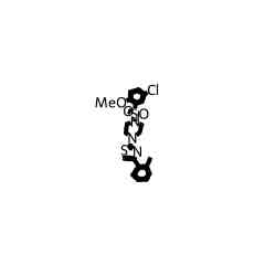 COc1ccc(Cl)cc1S(=O)(=O)N1CCN(c2nc(-c3ccccc3C)cs2)CC1